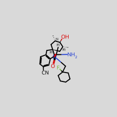 C[C@@H]1C[C@@]2(Cc3ccc(C#N)cc3[C@]23N=C(N)N(CC2(F)CCCCC2)C3=O)C[C@H](C)[C@H]1O